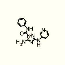 Nc1nc(Nc2cccnc2)nn1C(=O)Nc1ccccc1